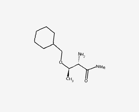 CNC(=O)[C@@H](N)[C@@H](C)OCC1CCCCC1